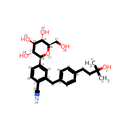 CC(C)(O)CCc1ccc(Cc2cc([C@@H]3O[C@H](CO)[C@@H](O)[C@H](O)[C@H]3O)ccc2C#N)cc1